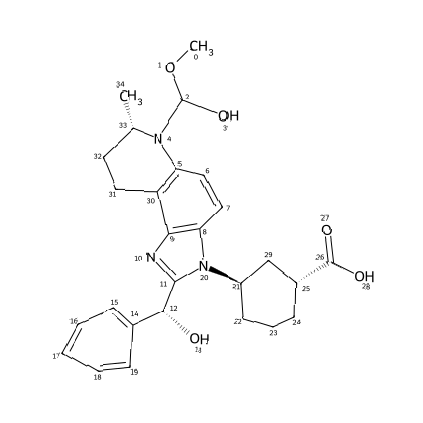 COC(O)N1c2ccc3c(nc([C@H](O)c4ccccc4)n3[C@@H]3CCC[C@@H](C(=O)O)C3)c2CC[C@@H]1C